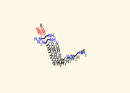 CC(=O)O.CC(=O)O.CC(=O)O.CC(=O)O.CC(=O)O.CC(=O)O.CC(=O)O.CC(=O)O.CC(=O)O.CC(=O)O.CC(=O)O.CC(=O)O.NCCN.NCCN.NCCN.O.O.O.[K].[K].[K]